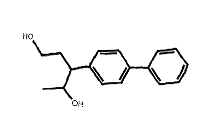 CC(O)C(CCO)c1ccc(-c2ccccc2)cc1